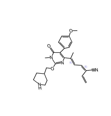 C=C/C(C#N)=C\C=C(/C)c1nc(OCC2CCNCC2)n(C)c(=O)c1-c1ccc(OC)cc1